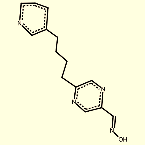 ON=Cc1cnc(CCCCc2cccnc2)cn1